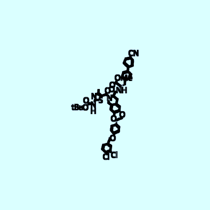 COC(=O)[C@H](Cc1ccc(-c2ccc(C#N)cc2)cc1)NC(=O)C1Cc2cc3c(cc2CN1C(=O)c1sc(NC(=O)OC(C)(C)C)nc1C)O[C@@H](c1ccc(OCc2ccc(Cl)c(Cl)c2)cc1)CO3